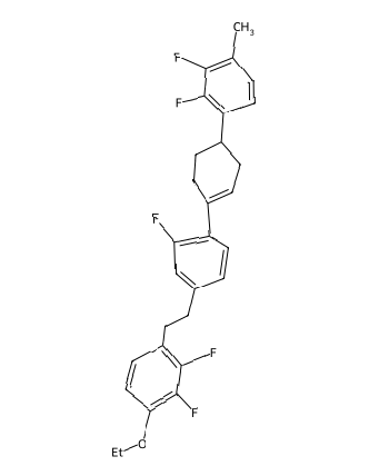 CCOc1ccc(CCc2ccc(C3=CCC(c4ccc(C)c(F)c4F)CC3)c(F)c2)c(F)c1F